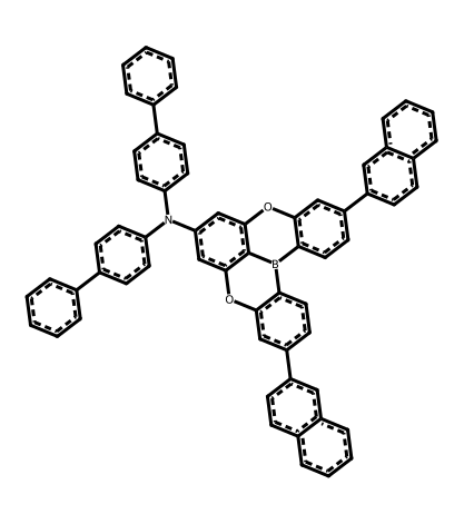 c1ccc(-c2ccc(N(c3ccc(-c4ccccc4)cc3)c3cc4c5c(c3)Oc3cc(-c6ccc7ccccc7c6)ccc3B5c3ccc(-c5ccc6ccccc6c5)cc3O4)cc2)cc1